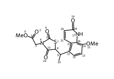 COC(=O)CN1C(=O)SC(C(C)c2ccc(OC)c3[nH]c(=O)ccc23)C1=O